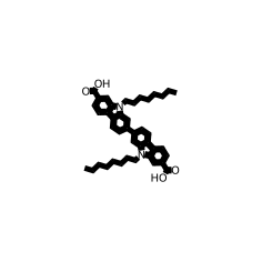 CCCCCCCCn1c2cc(C(=O)O)ccc2c2ccc(-c3ccc4c5ccc(C(=O)O)cc5n(CCCCCCCC)c4c3)cc21